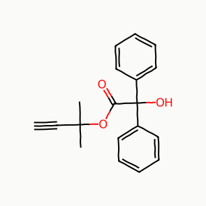 C#CC(C)(C)OC(=O)C(O)(c1ccccc1)c1ccccc1